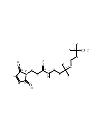 CC(C)(C=O)CCOC(C)(C)CCNC(=O)CCN1C(=O)C=CC1=O